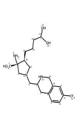 N[C@@]1(C(=O)O)CN(CC2Cc3ccc(C(F)(F)F)cc3CN2)C[C@@H]1CCCB(O)O